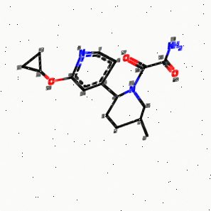 CC1CCC(c2ccnc(OC3CC3)c2)N(C(=O)C(N)=O)C1